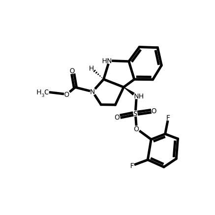 COC(=O)N1CC[C@@]2(NS(=O)(=O)Oc3c(F)cccc3F)c3ccccc3N[C@H]12